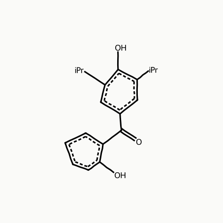 CC(C)c1cc(C(=O)c2ccccc2O)cc(C(C)C)c1O